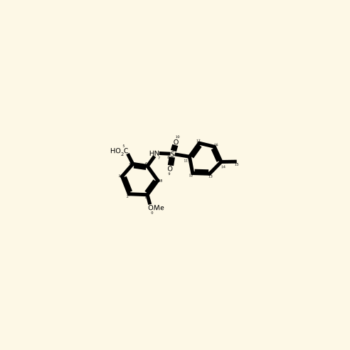 COc1ccc(C(=O)O)c(NS(=O)(=O)c2ccc(C)cc2)c1